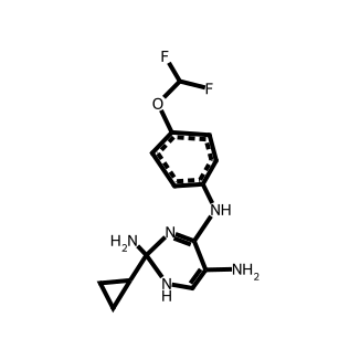 NC1=CNC(N)(C2CC2)N=C1Nc1ccc(OC(F)F)cc1